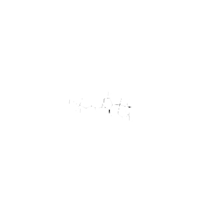 CCC(CC)(C1CCN(OCC[Si](C)(C)C)C1=O)P(=O)(O)O